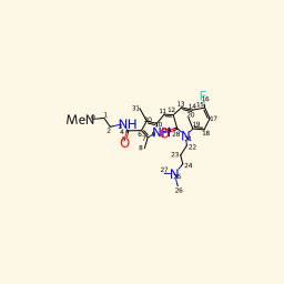 CNCCNC(=O)c1c(C)[nH]c(/C=C2/C=C/C(F)=C\C=C(/C)N(CCCN(C)C)C2=O)c1C